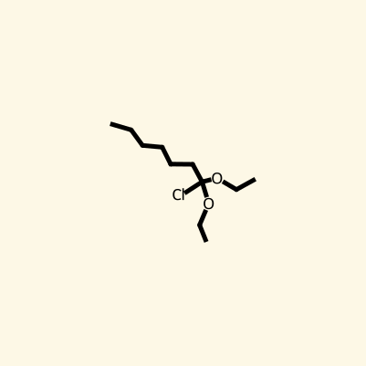 CCCCCCC(Cl)(OCC)OCC